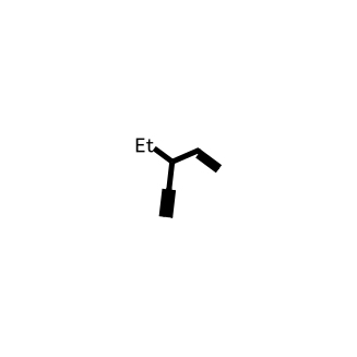 [C]#CC(C=C)CC